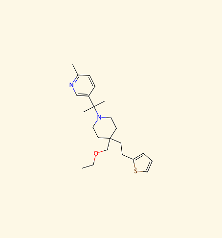 CCOCC1(CCc2cccs2)CCN(C(C)(C)c2ccc(C)nc2)CC1